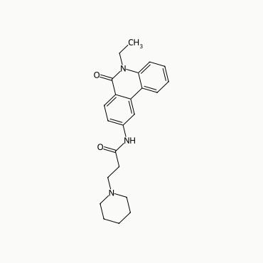 CCn1c(=O)c2ccc(NC(=O)CCN3CCCCC3)cc2c2ccccc21